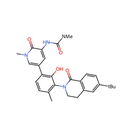 CNC(=O)Nc1cc(-c2ccc(C)c(N3CCc4cc(C(C)(C)C)ccc4C3=O)c2O)cn(C)c1=O